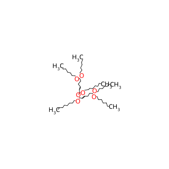 CCCCCCCCOC(C=CCCC(OCCCCCCC)OCCCCCCC)OC(C=CCCC(OCCCCCCC)OCCCCCCC)OCCCCCCCC